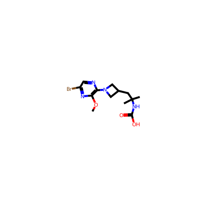 COc1nc(Br)cnc1N1CC(CC(C)(C)NC(=O)O)C1